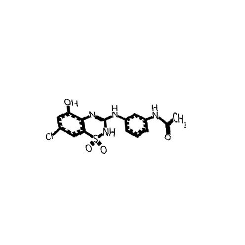 CC(=O)Nc1cccc(NC2=Nc3c(O)cc(Cl)cc3S(=O)(=O)N2)c1